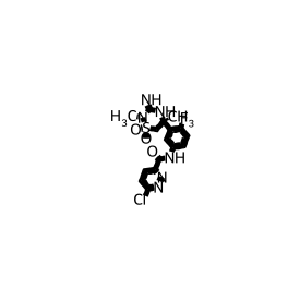 CN1C(=N)N[C@](C)(c2cc(NC(=O)c3ccc(Cl)nn3)ccc2F)CS1(=O)=O